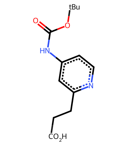 CC(C)(C)OC(=O)Nc1ccnc(CCC(=O)O)c1